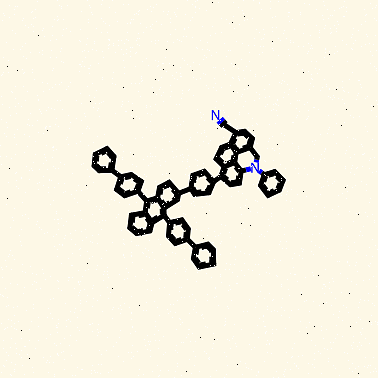 N#Cc1ccc2c3c1ccc1c(-c4ccc(-c5ccc6c(-c7ccc(-c8ccccc8)cc7)c7ccccc7c(-c7ccc(-c8ccccc8)cc7)c6c5)cc4)ccc(c13)N(c1ccccc1)C2